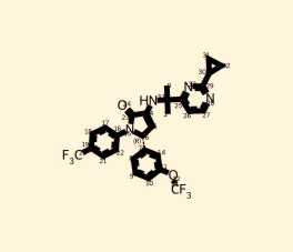 CC(C)(NC1=C[C@H](c2cccc(OC(F)(F)F)c2)N(c2ccc(C(F)(F)F)cc2)C1=O)c1ccnc(C2CC2)n1